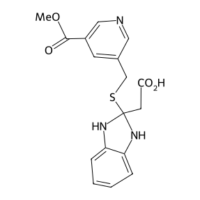 COC(=O)c1cncc(CSC2(CC(=O)O)Nc3ccccc3N2)c1